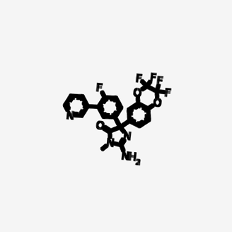 CN1C(=O)C(c2ccc3c(c2)OC(F)(F)C(F)(F)O3)(c2ccc(F)c(-c3cccnc3)c2)N=C1N